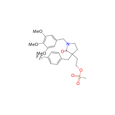 COc1cc(CN2CCC(CCOS(C)(=O)=O)(Cc3ccc(C(F)(F)F)cc3)C2=O)cc(OC)c1OC